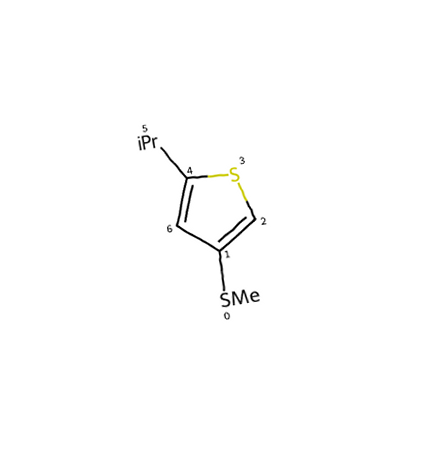 CSc1csc(C(C)C)c1